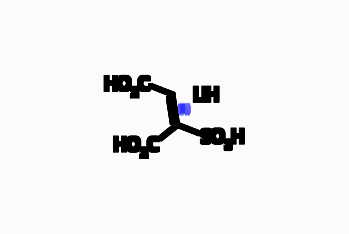 O=C(O)/C=C(\C(=O)O)S(=O)(=O)O.[LiH]